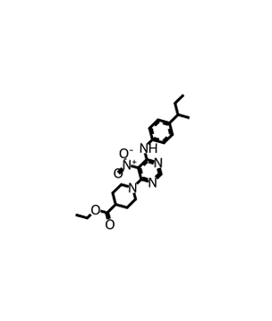 CCOC(=O)C1CCN(c2ncnc(Nc3ccc(C(C)CC)cc3)c2[N+](=O)[O-])CC1